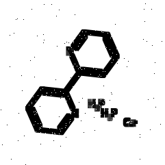 P.P.[Cu].c1ccc(-c2ccccn2)nc1